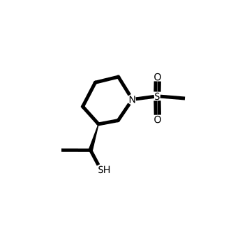 CC(S)[C@H]1CCCN(S(C)(=O)=O)C1